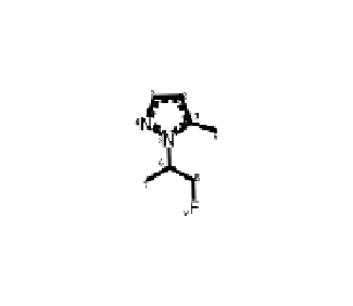 Cc1ccnn1C(C)CF